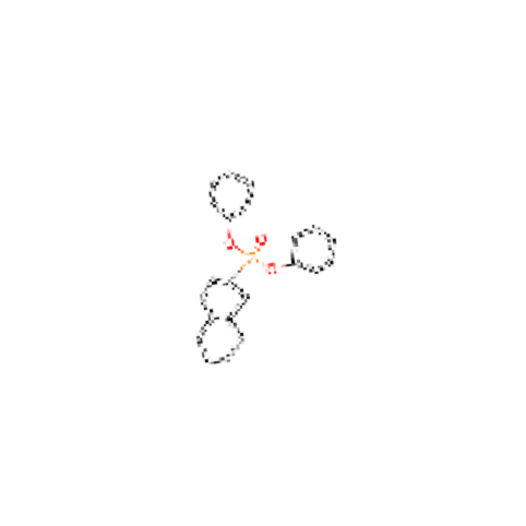 O=P(Oc1ccccc1)(Oc1ccccc1)c1ccc2ccccc2c1